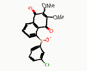 COC1=C(OC)C(=O)c2c(cccc2[S+]([O-])c2cccc(Cl)c2)C1=O